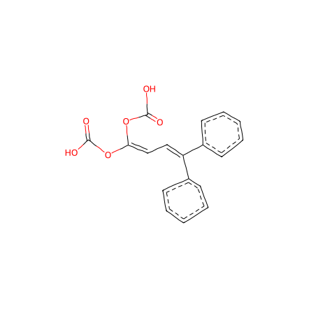 O=C(O)OC(=CC=C(c1ccccc1)c1ccccc1)OC(=O)O